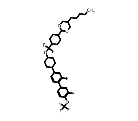 CCCCCC1COC(C2CCC(C(F)(F)OC3CCC(c4ccc(-c5ccc(OC(F)(F)F)c(F)c5)c(F)c4)CC3)CC2)OC1